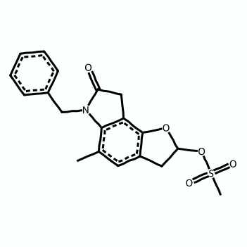 Cc1cc2c(c3c1N(Cc1ccccc1)C(=O)C3)OC(OS(C)(=O)=O)C2